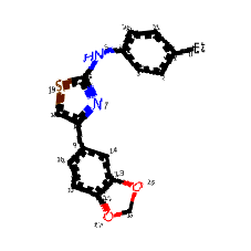 CCc1ccc(Nc2nc(-c3ccc4c(c3)OCO4)cs2)cc1